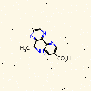 C[C@@H](N)c1nccnc1-c1ccc(C(=O)O)cn1